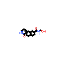 O=C(NCO)c1ccc2c(c1)CC1(CCCNC1=O)CC2